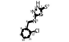 S=c1[nH]nc(N=Cc2ccccc2Cl)s1